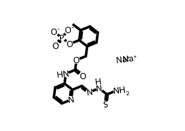 Cc1cccc(COC(=O)Nc2cccnc2C=NNC(N)=S)c1OP(=O)([O-])[O-].[Na+].[Na+]